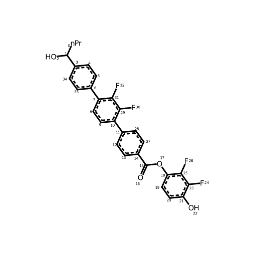 CCCC(O)c1ccc(-c2ccc(-c3ccc(C(=O)Oc4ccc(O)c(F)c4F)cc3)c(F)c2F)cc1